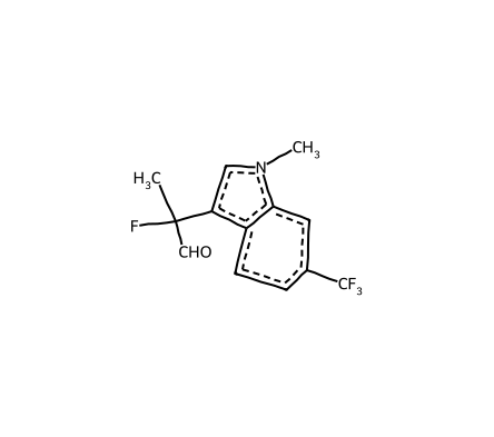 Cn1cc(C(C)(F)C=O)c2ccc(C(F)(F)F)cc21